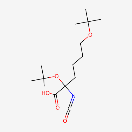 CC(C)(C)OCCCCC(N=C=O)(OC(C)(C)C)C(=O)O